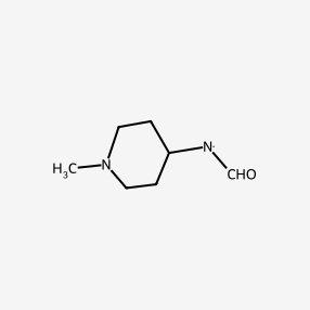 CN1CCC([N]C=O)CC1